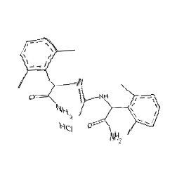 C/C(=N\C(C(N)=O)c1c(C)cccc1C)NC(C(N)=O)c1c(C)cccc1C.Cl